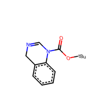 CC(C)(C)OC(=O)N1C=NCc2ccccc21